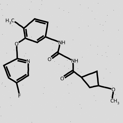 COC1CC(C(=O)NC(=O)Nc2ccc(C)c(Oc3ccc(F)cn3)c2)C1